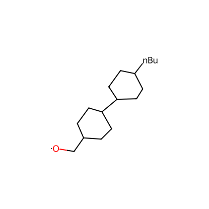 CCCCC1CCC(C2CCC(C[O])CC2)CC1